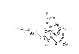 COCCOCCNC(=O)[C@H](CC(=O)O)NC(=O)[C@H](CC(C)C)NC(C)=O